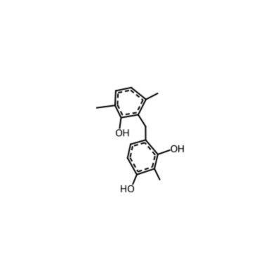 Cc1ccc(C)c(Cc2ccc(O)c(C)c2O)c1O